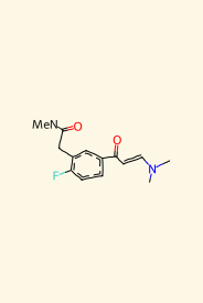 CNC(=O)Cc1cc(C(=O)C=CN(C)C)ccc1F